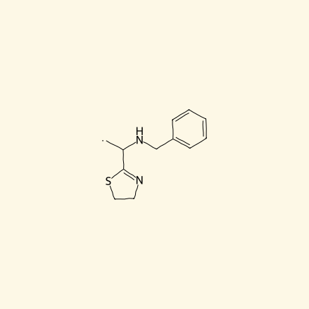 [CH2]C(NCc1ccccc1)C1=NCCS1